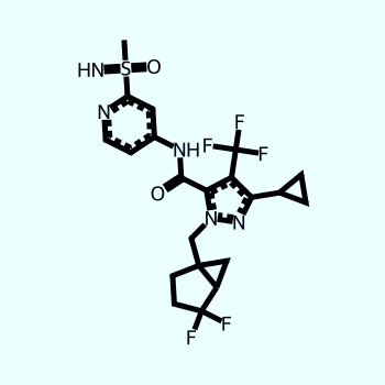 CS(=N)(=O)c1cc(NC(=O)c2c(C(F)(F)F)c(C3CC3)nn2CC23CCC(F)(F)C2C3)ccn1